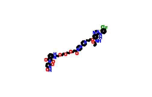 C=CC(=O)Nc1cc2c(Nc3ccc(F)c(Cl)c3)ncnc2cc1OCCCN1CCC(N2CCN(C(=O)CCOCCOCCOCCNc3cccc4c3C(=O)N(C3CCC(=O)NC3=O)C4=O)CC2)CC1